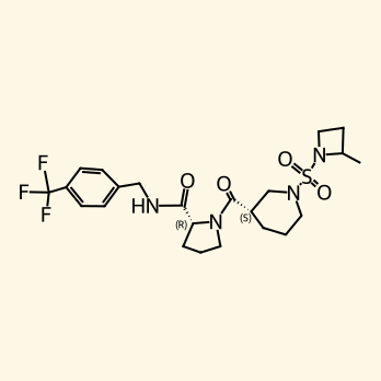 CC1CCN1S(=O)(=O)N1CCC[C@H](C(=O)N2CCC[C@@H]2C(=O)NCc2ccc(C(F)(F)F)cc2)C1